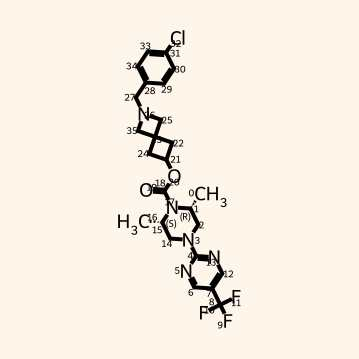 C[C@@H]1CN(c2ncc(C(F)(F)F)cn2)C[C@H](C)N1C(=O)OC1CC2(C1)CN(Cc1ccc(Cl)cc1)C2